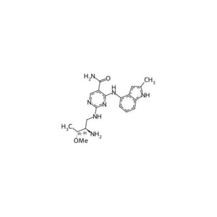 CO[C@H](C)[C@H](N)CNc1ncc(C(N)=O)c(Nc2cccc3[nH]c(C)cc23)n1